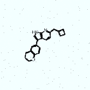 c1cc2c(cc1-c1c[nH]c3nc(CC4CCC4)ccc13)CCCO2